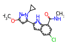 CNC(=O)c1cc(Cl)cc2cc(-c3cc(OC)nn3C3CC3)[nH]c12